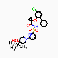 CC(C)(C)C1(O)CCN(c2cccc(S(=O)(=O)NC(=O)C3(Oc4cc(Cl)ccc4C4CCCCC4)CC3)n2)CC1